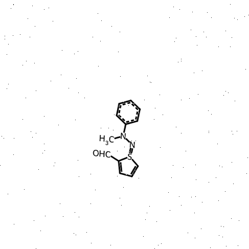 CN(N=S1C=CC=C1C=O)c1ccccc1